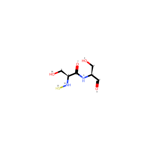 O=C[C@H](CO)NC(=O)[C@H](CO)NS